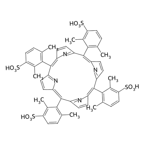 Cc1ccc(S(=O)(=O)O)c(C)c1C1=C2C=CC(=N2)C(c2c(C)ccc(S(=O)(=O)O)c2C)=C2C=CC(=N2)C(c2c(C)ccc(S(=O)(=O)O)c2C)=C2C=CC(=N2)C(c2c(C)ccc(S(=O)(=O)O)c2C)=C2C=CC1=N2